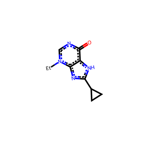 CCn1cnc(=O)c2[nH]c(C3CC3)nc21